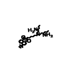 CCCC(N)CCN(CCCCCCN1C(=O)c2cccc3c(N4CC4)ccc(c23)C1=O)CCC(N)CCC